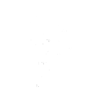 COCC(=O)N(c1c(C)cccc1C)C(C)C(=O)NCC#N